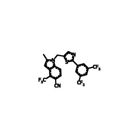 Cc1cc2c(C(F)(F)F)c(C#N)ccc2n1Cc1cnc(-c2cc(C(F)(F)F)cc(C(F)(F)F)c2)s1